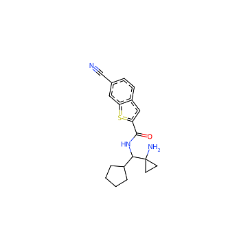 N#Cc1ccc2cc(C(=O)NC(C3CCCC3)C3(N)CC3)sc2c1